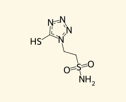 NS(=O)(=O)CCn1nnnc1S